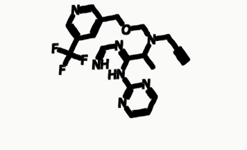 C#CCN(COCc1cncc(C(F)(F)F)c1)C(C)/C(=N/C=N)Nc1ncccn1